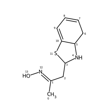 CC(CC1NC2CC=CC=C2S1)=NO